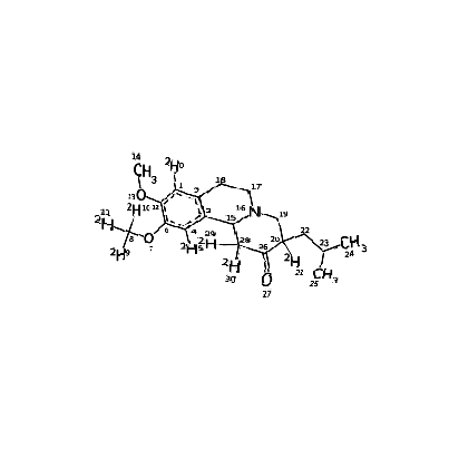 [2H]c1c2c(c([2H])c(OC([2H])([2H])[2H])c1OC)C1N(CC2)CC([2H])(CC(C)C)C(=O)C1([2H])[2H]